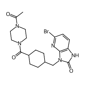 CC(=O)N1CCN(C(=O)C2CCC(Cn3c(=O)[nH]c4ccc(Br)nc43)CC2)CC1